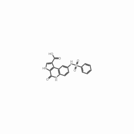 O=C(O)c1c[nH]c2c(=O)[nH]c3ccc(NS(=O)(=O)c4ccccc4)cc3c12